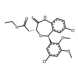 CCOC(=O)C[C@H]1O[C@H](c2cc(Cl)cc(OC)c2OC)c2cc(Cl)ccc2NC1=S